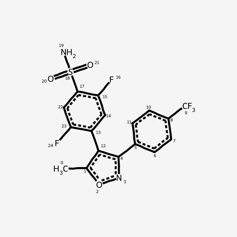 Cc1onc(-c2ccc(C(F)(F)F)cc2)c1-c1cc(F)c(S(N)(=O)=O)cc1F